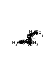 Cc1ccc(S(=O)(=O)OCC(O)CN2C(=O)C(C)(C)c3cc4[nH]c5c(c4cc32)CCCc2cn(COCC[Si](C)(C)C)nc2-5)cc1